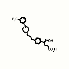 O=C(O)CCC(=NO)c1ccc(CCCN2CCN(c3cccc(C(F)(F)F)c3)CC2)cc1